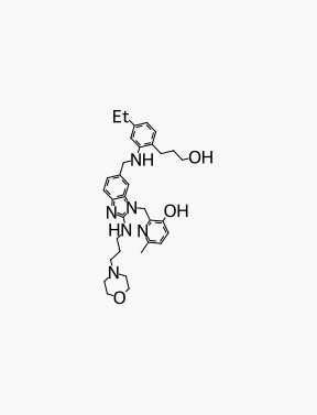 CCc1ccc(CCCO)c(NCc2ccc3nc(NCCCN4CCOCC4)n(Cc4nc(C)ccc4O)c3c2)c1